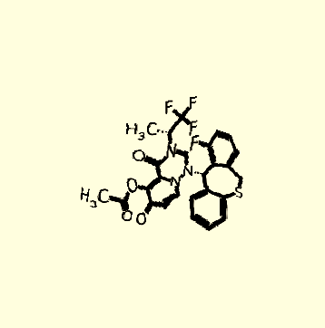 CC(=O)Oc1c2n(ccc1=O)N([C@H]1c3ccccc3SCc3cccc(F)c31)CN([C@H](C)C(F)(F)F)C2=O